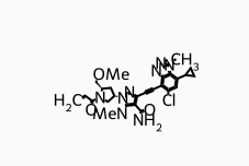 C=CC(=O)N1C[C@@H](n2nc(C#Cc3c(Cl)cc(C4CC4)c4c3nnn4C)c(C(N)=O)c2NC)C[C@@H]1COC